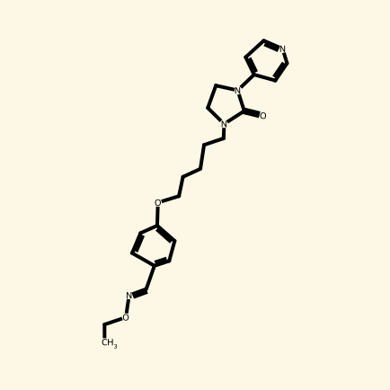 CCO/N=C/c1ccc(OCCCCCN2CCN(c3ccncc3)C2=O)cc1